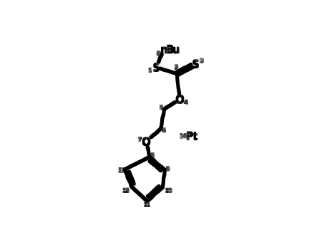 CCCCSC(=S)OCCOc1ccccc1.[Pt]